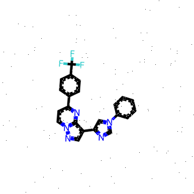 FC(F)(F)c1ccc(-c2ccn3ncc(-c4cn(-c5ccccc5)cn4)c3n2)cc1